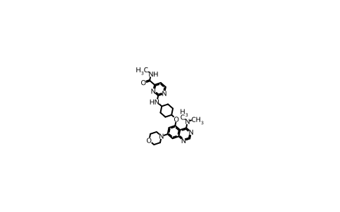 CNC(=O)c1ccnc(NC2CCC(Oc3cc(N4CCOCC4)cc4ncnc(N(C)C)c34)CC2)n1